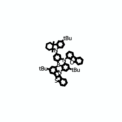 CC(C)(C)c1cc2c3c(c1)-n1c4c(cc(C(C)(C)C)cc4c4sc5ccccc5c41)B3c1ccc(N3c4ccc(C(C)(C)C)cc4C4(C)CCCCC34C)cc1N2c1cccc2c1oc1ccccc12